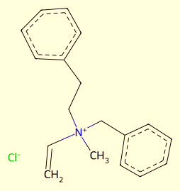 C=C[N+](C)(CCc1ccccc1)Cc1ccccc1.[Cl-]